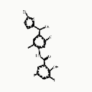 Cc1cc(C(C#N)c2ccc(Cl)s2)c(Cl)cc1NC(=O)c1cc(I)cc(I)c1O